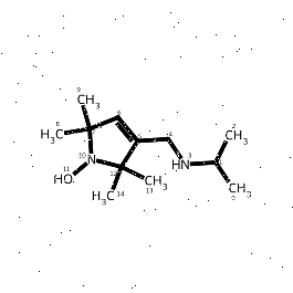 CC(C)NCC1=CC(C)(C)N(O)C1(C)C